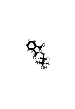 [2H]C([2H])(O)C(F)(F)CN1C(=O)c2ccccc2C1=O